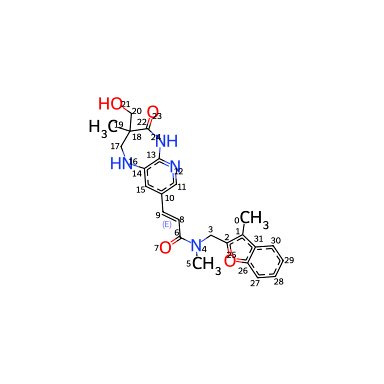 Cc1c(CN(C)C(=O)/C=C/c2cnc3c(c2)NCC(C)(CO)C(=O)N3)oc2ccccc12